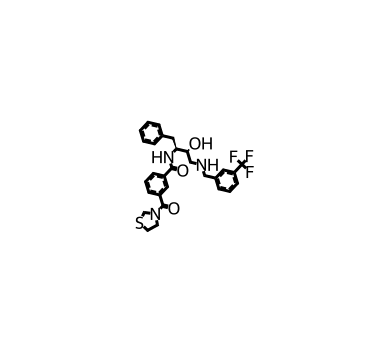 O=C(N[C@@H](Cc1ccccc1)[C@H](O)CNCc1cccc(C(F)(F)F)c1)c1cccc(C(=O)N2CCSC2)c1